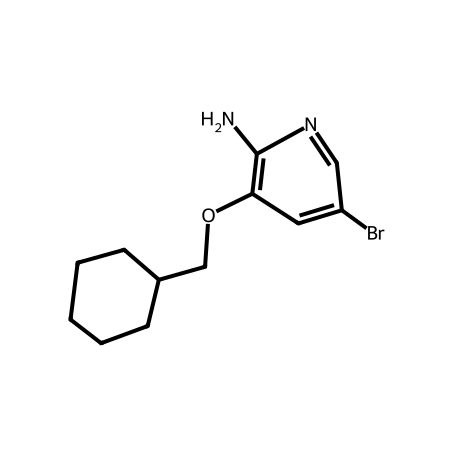 Nc1ncc(Br)cc1OCC1CCCCC1